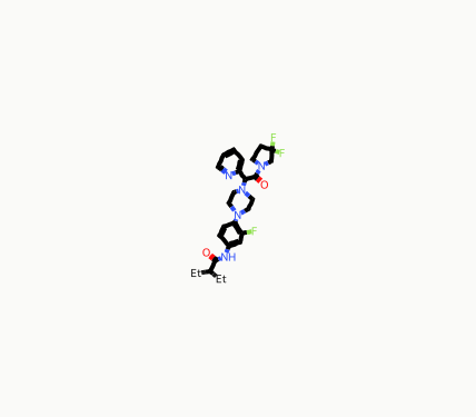 CCC(CC)C(=O)Nc1ccc(N2CCN(C(C(=O)N3CCC(F)(F)C3)c3ccccn3)CC2)c(F)c1